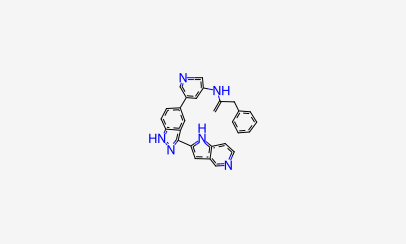 C=C(Cc1ccccc1)Nc1cncc(-c2ccc3[nH]nc(-c4cc5cnccc5[nH]4)c3c2)c1